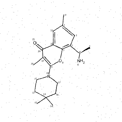 Cc1cc([C@@H](C)N)c2oc(N3CCC(C)(C)CC3)c(C)c(=O)c2c1